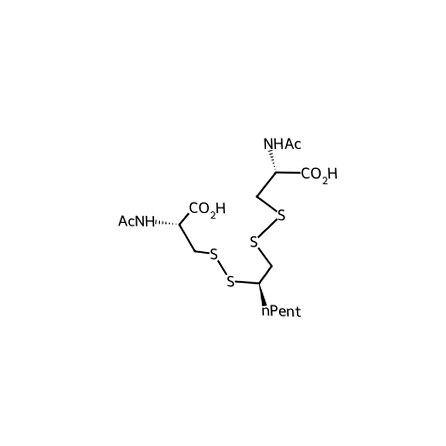 CCCCC[C@H](CSSC[C@H](NC(C)=O)C(=O)O)SSC[C@H](NC(C)=O)C(=O)O